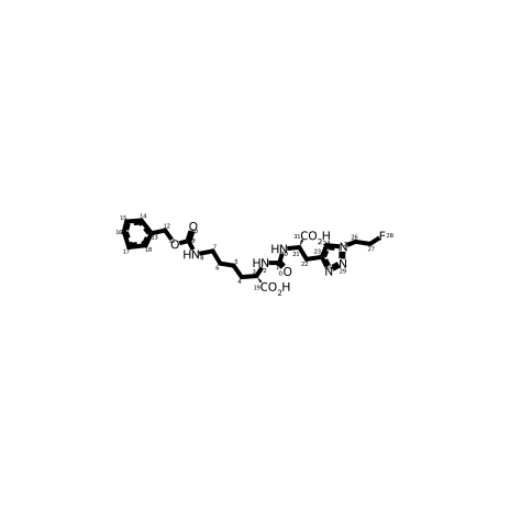 O=C(N[C@@H](CCCCNC(=O)OCc1ccccc1)C(=O)O)N[C@@H](Cc1cn(CCF)nn1)C(=O)O